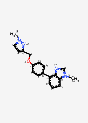 Cn1ccc(COc2ccc(-c3cccc4c3ncn4C)cc2)n1